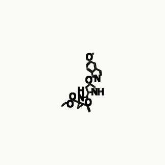 C=CC1CC1(NC(=O)C1CC(Oc2nccc3cc(OC)ccc23)CN1)C(=O)OCC